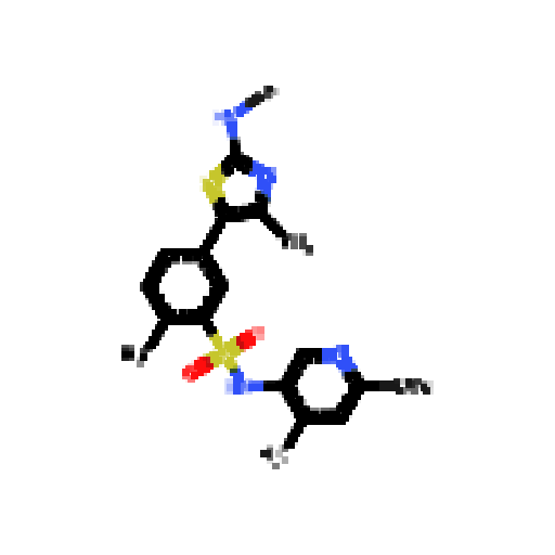 COc1cc(C)c(NS(=O)(=O)c2cc(-c3sc(NC(C)C)nc3C)ccc2C)cn1